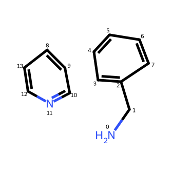 NCc1ccccc1.c1ccncc1